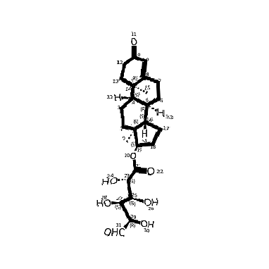 C[C@]12CC[C@H]3[C@@H](CCC4=CC(=O)CC[C@@]43C)[C@@H]1CC[C@@H]2OC(=O)[C@@H](O)[C@@H](O)[C@H](O)[C@@H](O)C=O